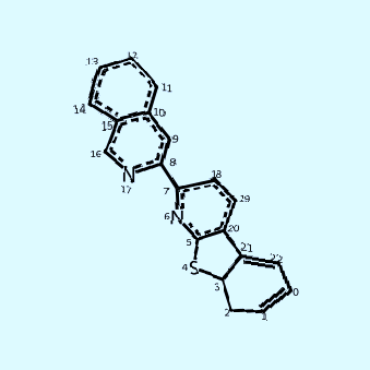 C1=CCC2Sc3nc(-c4cc5ccccc5cn4)ccc3C2=C1